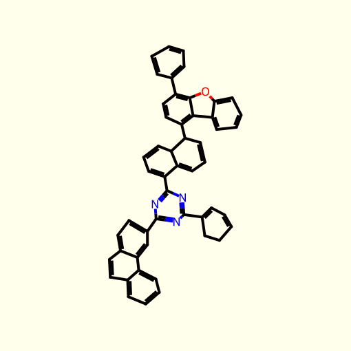 C1=CCCC(c2nc(C3=CC=CC4C3=CC=CC4c3ccc(-c4ccccc4)c4oc5ccccc5c34)nc(-c3ccc4ccc5ccccc5c4c3)n2)=C1